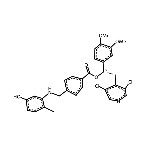 COc1ccc([C@H](Cc2c(Cl)cncc2Cl)OC(=O)c2ccc(CNc3cc(O)ccc3C)cc2)cc1OC